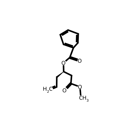 C=CC[C@H](CC(=O)OC)OC(=O)c1ccccc1